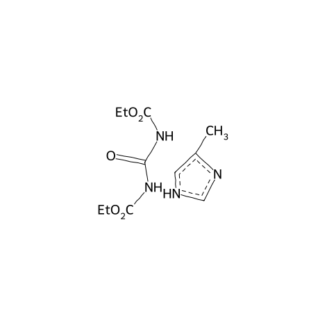 CCOC(=O)NC(=O)NC(=O)OCC.Cc1c[nH]cn1